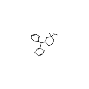 COC1(C)CCCN(C(C2=CC=CCC2)C2=COC=CO2)C1